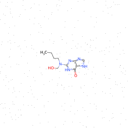 CCCCN(CO)c1nc2nc[nH]c2c(=O)[nH]1